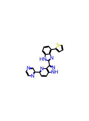 c1csc(-c2cccc3[nH]c(-c4n[nH]c5ccc(-c6cnccn6)nc45)nc23)c1